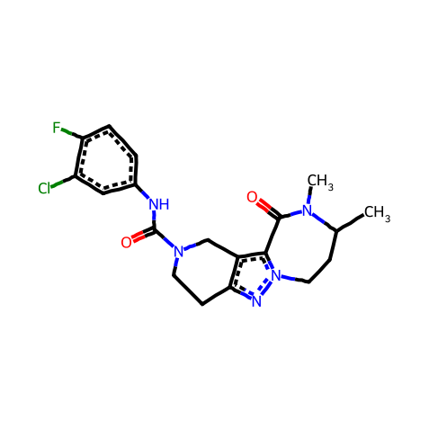 CC1CCn2nc3c(c2C(=O)N1C)CN(C(=O)Nc1ccc(F)c(Cl)c1)CC3